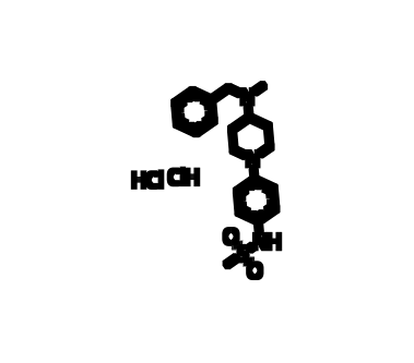 CN(Cc1ccccc1)C1CCN(c2ccc(NS(C)(=O)=O)cc2)CC1.Cl.Cl